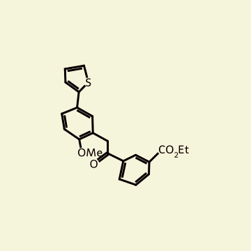 CCOC(=O)c1cccc(C(=O)Cc2cc(-c3cccs3)ccc2OC)c1